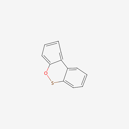 c1ccc2c(c1)OSc1ccccc1-2